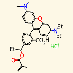 C=C(C)C(=O)OC(CC)c1ccc(C2=C3C=CC(N(CC)CC)C=C3Oc3cc(N(C)C)ccc32)c(C(=O)O)c1.Cl